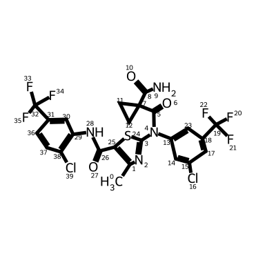 Cc1nc(N(C(=O)C2(C(N)=O)CC2)c2cc(Cl)cc(C(F)(F)F)c2)sc1C(=O)Nc1cc(C(F)(F)F)ccc1Cl